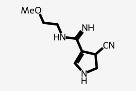 COCCNC(=N)C1=CNCC1C#N